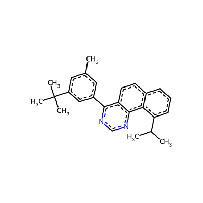 Cc1cc(-c2ncnc3c2ccc2cccc(C(C)C)c23)cc(C(C)(C)C)c1